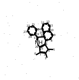 CC1=C(C)C(C)C(c2ccc3ccccc3c2C(=N)c2ccccc2)=C1C